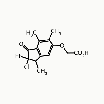 CCC1(Cl)C(=O)c2c(cc(OCC(=O)O)c(C)c2C)C1C